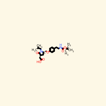 CC(C)CN1C(=O)[C@H](CC(=O)O)C[C@H]1COc1ccc(CCNC(=O)OC(C)(C)C)cc1